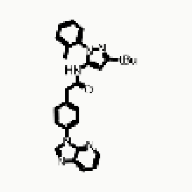 Cc1ccccc1-n1nc(C(C)(C)C)cc1NC(=O)Cc1ccc(-n2cnc3cccnc32)cc1